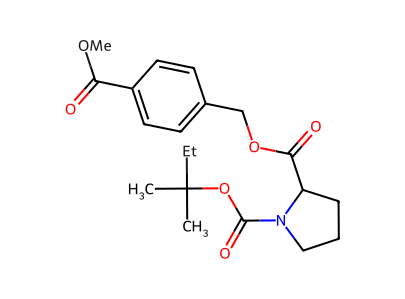 CCC(C)(C)OC(=O)N1CCCC1C(=O)OCc1ccc(C(=O)OC)cc1